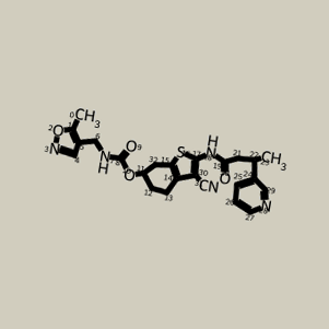 Cc1oncc1CNC(=O)OC1CCc2c(sc(NC(=O)CC(C)c3cccnc3)c2C#N)C1